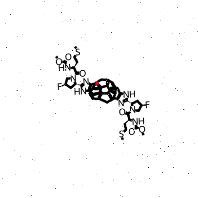 COC(=O)N[C@@H](CCSC)C(=O)N1C[C@H](F)C[C@H]1c1nc2cc(-c3cc4ccc3CCc3ccc(c(-c5ccc6[nH]c([C@@H]7C[C@@H](F)CN7C(=O)[C@H](CCSC)NC(=O)OC)nc6c5)c3)CC4)ccc2[nH]1